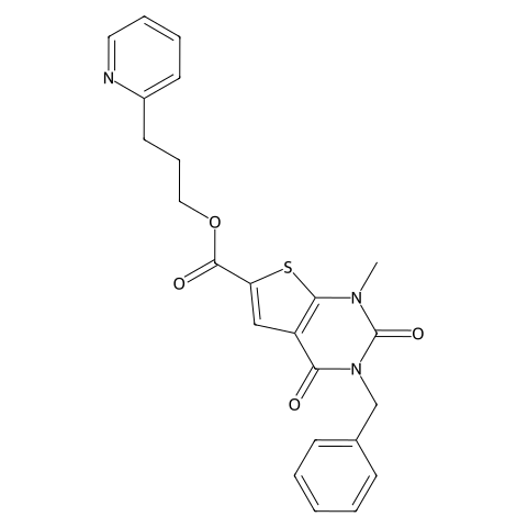 Cn1c(=O)n(Cc2ccccc2)c(=O)c2cc(C(=O)OCCCc3ccccn3)sc21